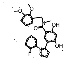 COc1cccc(CN(C)C(=O)c2cc(-c3ccnn3-c3ccccc3F)c(O)cc2O)c1OC